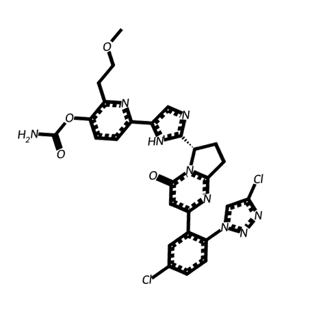 COCCc1nc(-c2cnc([C@@H]3CCc4nc(-c5cc(Cl)ccc5-n5cc(Cl)nn5)cc(=O)n43)[nH]2)ccc1OC(N)=O